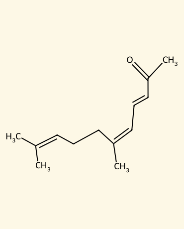 CC(=O)/C=C/C=C(/C)CCC=C(C)C